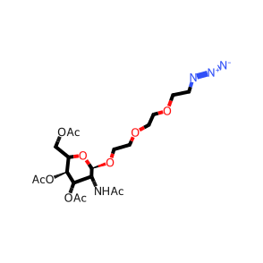 CC(=O)NC1C(OC(C)=O)[C@@H](OC(C)=O)C(COC(C)=O)O[C@H]1OCCOCCOCCN=[N+]=[N-]